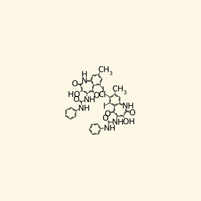 Cc1cc(I)c2c(=O)c(NC(=O)Nc3ccccc3)c(O)c(=O)[nH]c2c1.Cc1cc2[nH]c(=O)c(O)c(NC(=O)Nc3ccccc3)c(=O)c2c(I)c1Cl